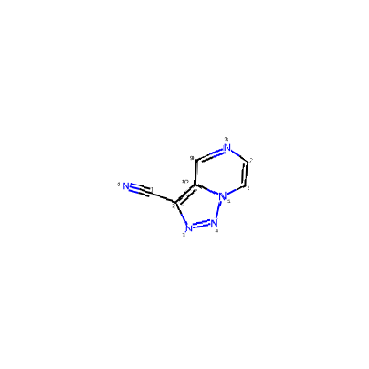 N#Cc1nnn2ccncc12